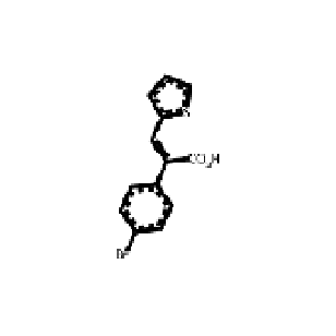 O=C(O)C(=Cc1cccs1)c1ccc(Br)cc1